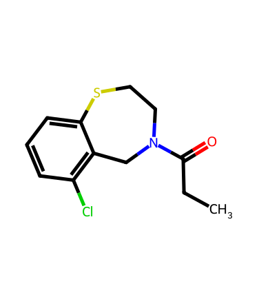 CCC(=O)N1CCSc2cccc(Cl)c2C1